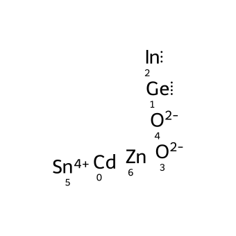 [Cd].[Ge].[In].[O-2].[O-2].[Sn+4].[Zn]